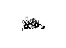 O=c1[nH]nc2c3c(cc(F)cc13)CNC(c1ccc(CN3CCC3)cc1)C2c1ncn[nH]1